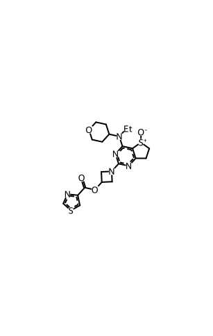 CCN(c1nc(N2CC(OC(=O)c3cscn3)C2)nc2c1[S+]([O-])CC2)C1CCOCC1